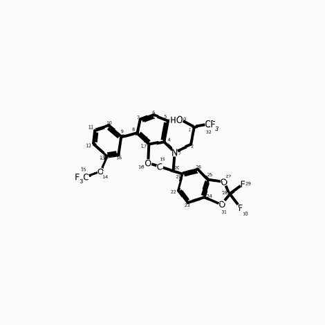 OC(CN1c2cccc(-c3cccc(OC(F)(F)F)c3)c2OCC1c1ccc2c(c1)OC(F)(F)O2)C(F)(F)F